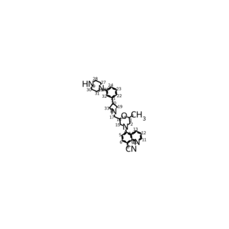 CC1CN(c2ccc(C#N)c3ncccc23)CC(CN2CC(c3cccc(N4CCNCC4)c3)C2)O1